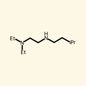 CCN(CC)CCNCCC(C)C